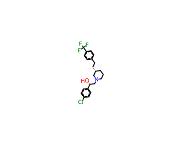 O[C@H](CN1CCC[C@@H](CCc2ccc(C(F)(F)F)cc2)C1)c1ccc(Cl)cc1